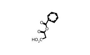 O=C(O)CC(=O)OC(=O)c1ccccc1